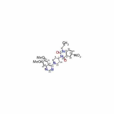 C=CCn1c(=O)n(C2CCN(c3ncnc4cc(OC)c(OC)cc34)CC2)c(=O)c2cc([N+](=O)[O-])ccc21